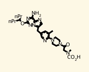 CCCC(CCC)Oc1nc(N)c2ncc(Cc3cnc(N4CCN(C(=O)CN(C)C(=O)O)CC4)c(C)c3)n2n1